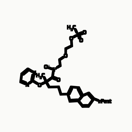 CCCCCc1ccc2cc(CCCC(C)(Oc3ncccn3)C(=O)[S+]([O-])CCOCCOS(C)(=O)=O)ccc2c1